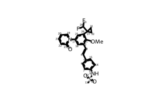 COc1c(/C=C/c2ccc(NS(C)(=O)=O)cc2)cc(-n2ccccc2=O)cc1C1(C(F)F)CC1